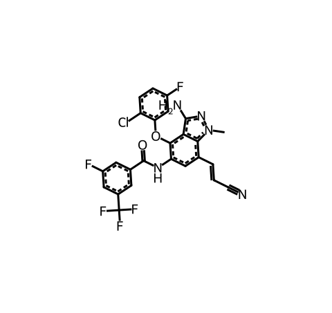 Cn1nc(N)c2c(Oc3cc(F)ccc3Cl)c(NC(=O)c3cc(F)cc(C(F)(F)F)c3)cc(C=CC#N)c21